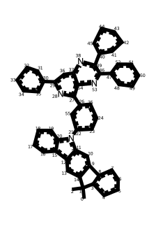 CC1(C)c2ccccc2-c2cc3c(cc21)c1ccccc1n3-c1cccc(-c2nc(-c3ccccc3)cc3nc(-c4ccccc4)c(-c4ccccc4)nc23)c1